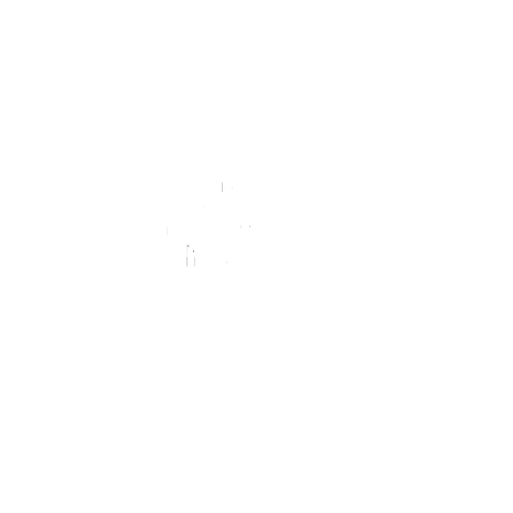 CCNP(=O)(SCC)SCSc1ccccc1